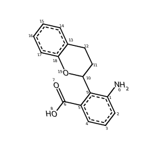 Nc1cccc(C(=O)O)c1C1CCc2ccccc2O1